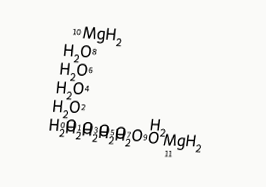 O.O.O.O.O.O.O.O.O.O.[MgH2].[MgH2]